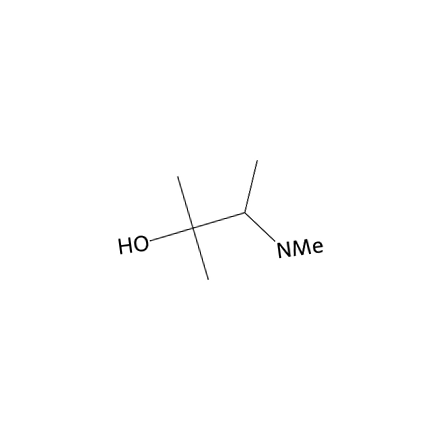 CNC(C)C(C)(C)O